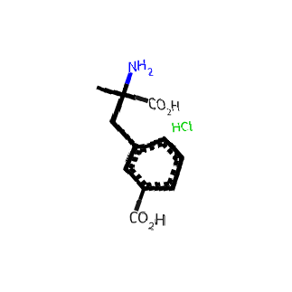 CC(N)(Cc1cccc(C(=O)O)c1)C(=O)O.Cl